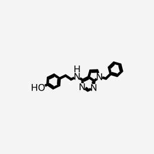 Oc1ccc(CCNc2ncnc3c2ccn3Cc2ccccc2)cc1